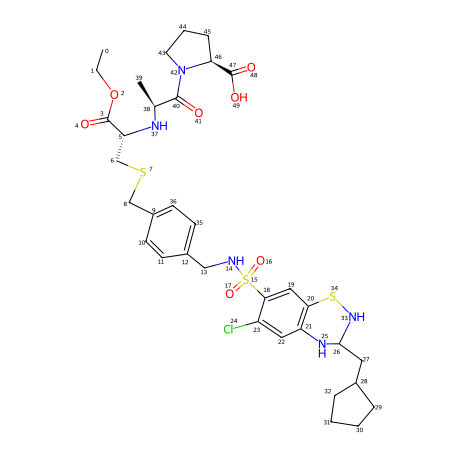 CCOC(=O)[C@@H](CSCc1ccc(CNS(=O)(=O)c2cc3c(cc2Cl)NC(CC2CCCC2)NS3)cc1)N[C@@H](C)C(=O)N1CCC[C@H]1C(=O)O